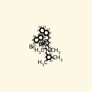 CC[N+](CC)(Cc1cc(C)cc(C)c1)CC(CCCc1ccc2ccccc2c1)NS(=O)(=O)c1cccc2ccccc12.[Br-]